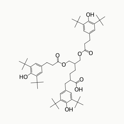 CC(C)(C)c1cc(CCC(=O)OCC(CCC(Cc2cc(C(C)(C)C)c(O)c(C(C)(C)C)c2)C(=O)O)COC(=O)CCc2cc(C(C)(C)C)c(O)c(C(C)(C)C)c2)cc(C(C)(C)C)c1O